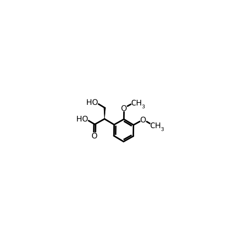 COc1cccc([C@H](CO)C(=O)O)c1OC